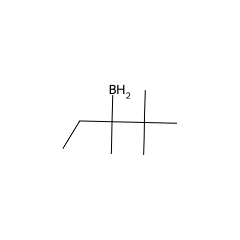 BC(C)(CC)C(C)(C)C